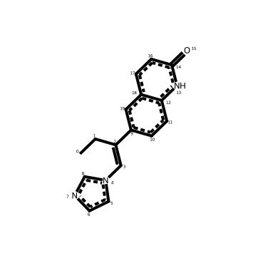 CCC(=Cn1ccnc1)c1ccc2[nH]c(=O)ccc2c1